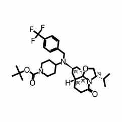 CC(C)[C@H]1CO[C@]23CC[C@H](N(Cc4ccc(C(F)(F)F)cc4)C4CCN(C(=O)OC(C)(C)C)CC4)C[C@H]2CCC(=O)N13